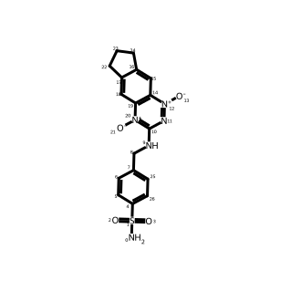 NS(=O)(=O)c1ccc(CNc2n[n+]([O-])c3cc4c(cc3[n+]2[O-])CCC4)cc1